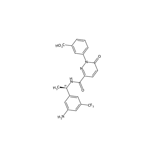 C[C@@H](NC(=O)c1ccc(=O)n(-c2cccc(C(=O)O)c2)n1)c1cc(N)cc(C(F)(F)F)c1